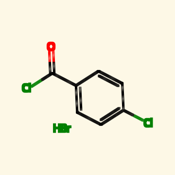 Br.O=C(Cl)c1ccc(Cl)cc1